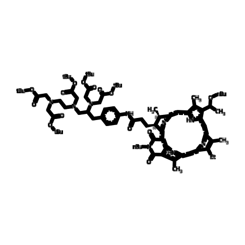 CCCCOC(C)c1c(C)c2cc3nc(c4c5[nH]c(cc6nc(cc1[nH]2)C(C)=C6CC)c(C)c5C(=O)N(CCCC)C4=O)[C@@H](CCC(=O)Nc1ccc(CC(CN(CCN(CC(=O)OC(C)(C)C)CC(=O)OC(C)(C)C)CC(=O)OC(C)(C)C)N(CC(=O)OC(C)(C)C)CC(=O)OC(C)(C)C)cc1)[C@@H]3C